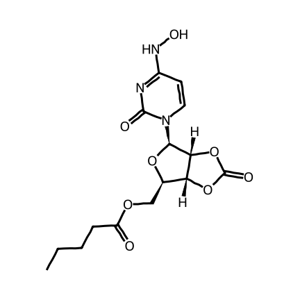 CCCCC(=O)OC[C@H]1O[C@@H](n2ccc(NO)nc2=O)[C@@H]2OC(=O)O[C@@H]21